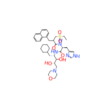 CCS(=O)(=O)CC(Cc1cccc2ccccc12)C(=O)N[C@@H](Cc1c[nH]cn1)C(=O)N[C@@H](CC1CCCCC1)[C@@H](O)[C@@H](O)CN1CCOCC1